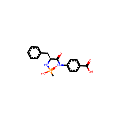 CP(=O)(O)N[C@@H](Cc1ccccc1)C(=O)Nc1ccc(C(=O)O)cc1